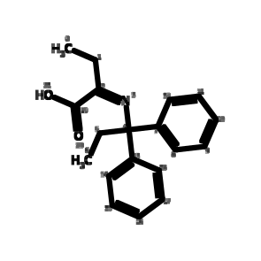 CCC(=NC(CC)(c1ccccc1)c1ccccc1)C(=O)O